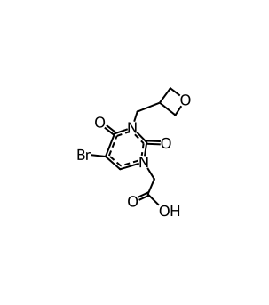 O=C(O)Cn1cc(Br)c(=O)n(CC2COC2)c1=O